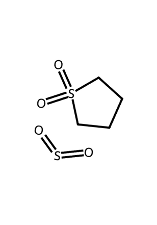 O=S1(=O)CCCC1.O=S=O